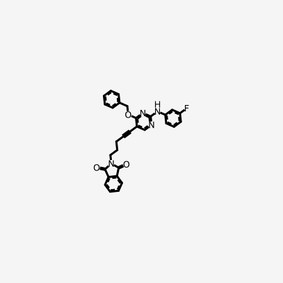 O=C1c2ccccc2C(=O)N1CCCC#Cc1cnc(Nc2cccc(F)c2)nc1OCc1ccccc1